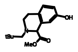 COC(=O)C1c2cc(O)ccc2CCN1CC(C)(C)C